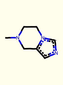 CN1CCn2[c]ncc2C1